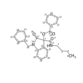 CCCCNC(=O)C1(OC(=O)c2ccccc2)C(=O)N(Cc2ccccc2)c2ccccc21